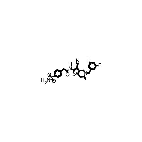 CC1Cc2sc(NC(=O)Cc3ccc(S(N)(=O)=O)cc3)c(C#N)c2CN1Cc1cc(F)cc(F)c1